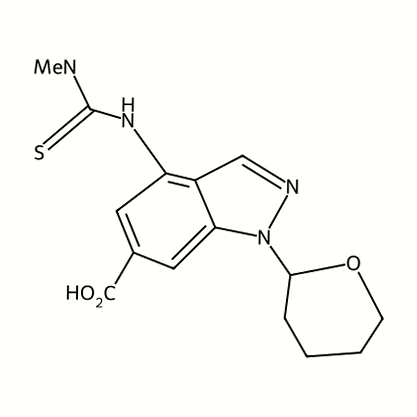 CNC(=S)Nc1cc(C(=O)O)cc2c1cnn2C1CCCCO1